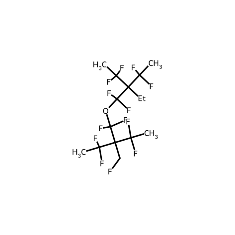 CCC(C(C)(F)F)(C(C)(F)F)C(F)(F)OC(F)(F)C(CF)(C(C)(F)F)C(C)(F)F